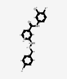 O=C(Nc1ccc(F)c(Cl)c1)c1ccnc(NSCc2ccc(F)cc2)c1